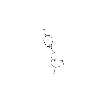 C[C@H]1CCN(CCN2CCC(F)CC2)C1